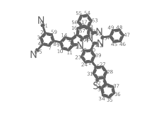 N#Cc1cc(C#N)cc(-c2ccc3c(c2)c2ccccc2n3-c2ccc(-c3ccc4c(c3)sc3ccccc34)cc2-c2nc(-c3ccccc3)nc(-c3ccccc3)n2)c1